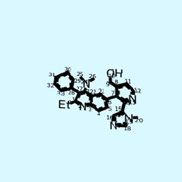 CCc1nc2ccc(-c3c(CO)ccnc3-c3cncn3C)cc2c(N(C)C)c1-c1ccccc1